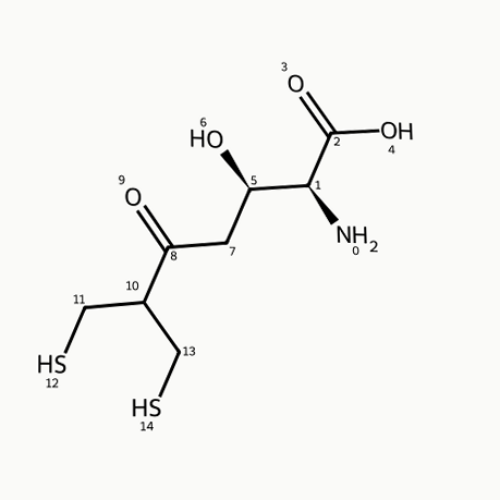 N[C@H](C(=O)O)[C@H](O)CC(=O)C(CS)CS